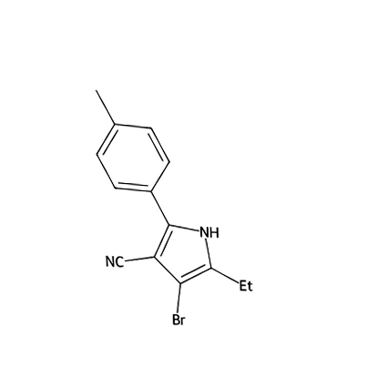 CCc1[nH]c(-c2ccc(C)cc2)c(C#N)c1Br